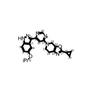 CC(C)Oc1ccc2[nH]nc(-c3cc(N4CCc5nc(C6CC6)oc5C4)ncn3)c2c1